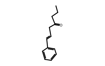 CCCC(=O)C/C=C/c1ccccc1